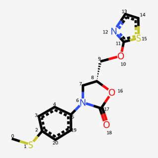 CSc1ccc(N2C[C@H](COc3nccs3)OC2=O)cc1